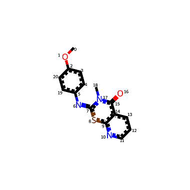 COc1ccc(N=c2sc3ncccc3c(=O)n2C)cc1